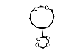 C1CCCCCC(C2OOCOO2)CCCCC1